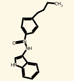 CCCCc1ccc([Si](=O)Nc2c[nH]c3ccccc23)cc1